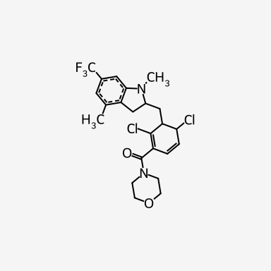 Cc1cc(C(F)(F)F)cc2c1CC(CC1C(Cl)=C(C(=O)N3CCOCC3)C=CC1Cl)N2C